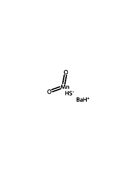 [BaH+].[O]=[Mn]=[O].[SH-]